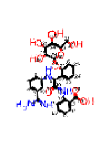 N=C(N)c1cccc(NC(C(=O)Nc2ccccc2C(=O)O)c2ccccc2OC2OC(CO)C(O)C(O)C2O)c1